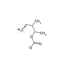 C=CC(C)C(C)OC([O])=O